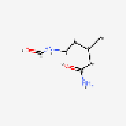 CC(CCNC=O)CC(N)=O